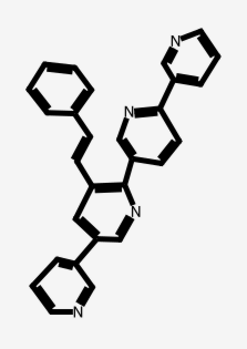 C(=Cc1cc(-c2cccnc2)cnc1-c1ccc(-c2cccnc2)nc1)c1ccccc1